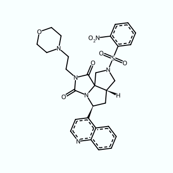 O=C1N(CCN2CCOCC2)C(=O)C23CN(S(=O)(=O)c4ccccc4[N+](=O)[O-])C[C@@H]2C[C@@H](c2ccnc4ccccc24)N13